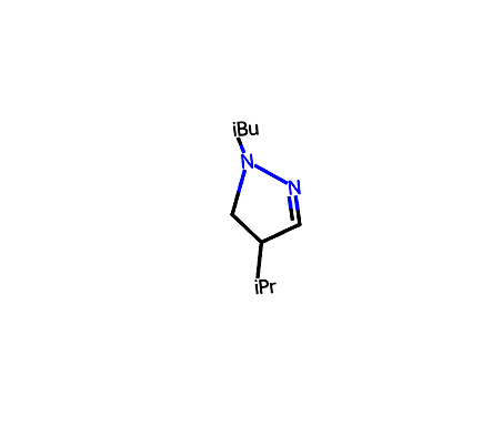 CCC(C)N1CC(C(C)C)C=N1